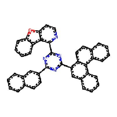 c1ccc2cc(-c3nc(-c4cc5ccccc5c5c4ccc4ccccc45)nc(-c4nccc5oc6ccccc6c45)n3)ccc2c1